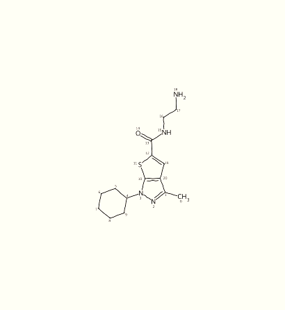 Cc1nn(C2CCCCC2)c2sc(C(=O)NCCN)cc12